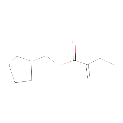 C=C(CC)C(=O)OCC1CCCC1